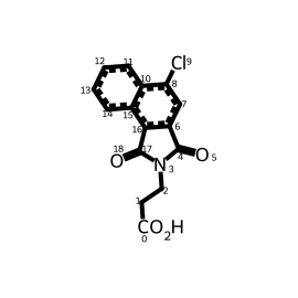 O=C(O)CCN1C(=O)c2cc(Cl)c3ccccc3c2C1=O